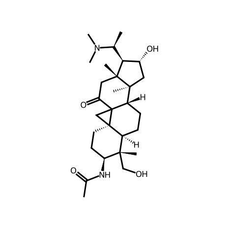 CC(=O)N[C@H]1CC[C@]23CC24C(=O)C[C@]2(C)[C@@H]([C@H](C)N(C)C)[C@H](O)C[C@@]2(C)[C@@H]4CC[C@H]3[C@]1(C)CO